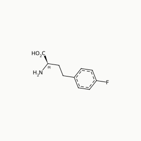 N[C@H](CCc1ccc(F)cc1)C(=O)O